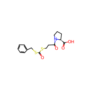 O=C(SCCC(=O)N1CCC[C@H]1C(=O)O)SCc1ccccc1